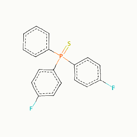 Fc1ccc(P(=S)(c2ccccc2)c2ccc(F)cc2)cc1